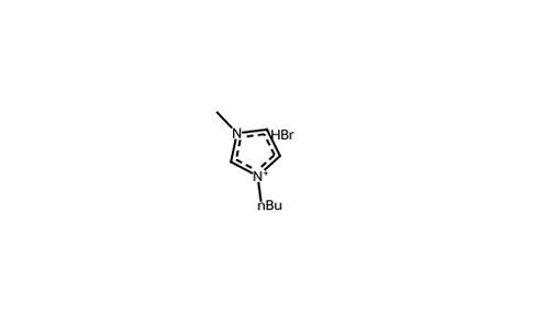 Br.CCCC[n+]1ccn(C)c1